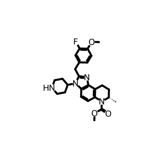 COC(=O)N1c2ccc3c(nc(Cc4ccc(OC)c(F)c4)n3C3CCNCC3)c2CC[C@@H]1C